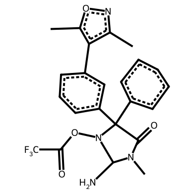 Cc1noc(C)c1-c1cccc(C2(c3ccccc3)C(=O)N(C)C(N)N2OC(=O)C(F)(F)F)c1